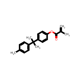 [CH2]c1ccc(C(C)(C)c2ccc(OC(=O)C(=C)C)cc2)cc1